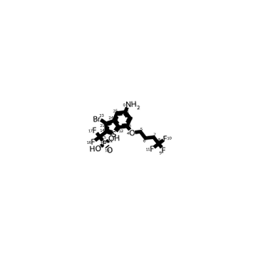 Nc1cc(OCCCC(F)(F)F)c2sc(C(F)(F)P(=O)(O)O)c(Br)c2c1